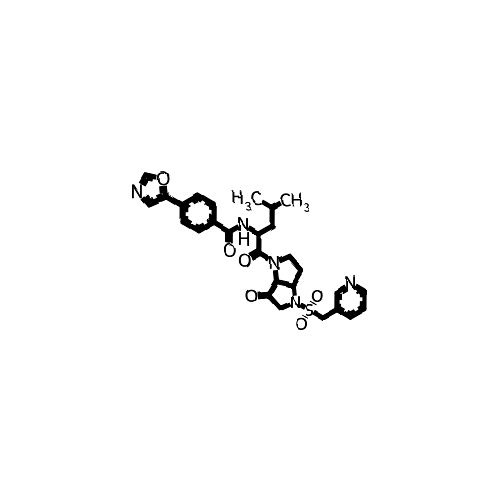 CC(C)CC(NC(=O)c1ccc(-c2cnco2)cc1)C(=O)N1CCC2C1C(=O)CN2S(=O)(=O)Cc1cccnc1